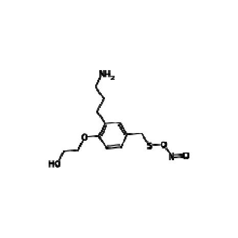 NCCCc1cc(CSON=O)ccc1OCCO